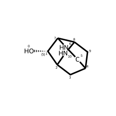 O[C@H]1C2CC3CNC1C(C3)N2